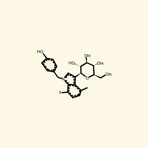 Cc1ccc(F)c2c1c([C@@H]1O[C@H](CO)[C@@H](O)[C@H](O)[C@H]1O)cn2Cc1ccc(O)cc1